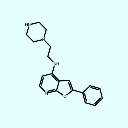 c1ccc(-c2cc3c(NCCN4CCNCC4)ccnc3o2)cc1